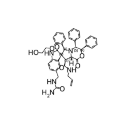 C=CCNC(=O)[C@@H]1[C@H]2C(=O)O[C@H](c3ccccc3)[C@H](c3ccccc3)N2[C@H](c2ccccc2OCCO)[C@@]12C(=O)Nc1ccc(CNC(N)=O)cc12